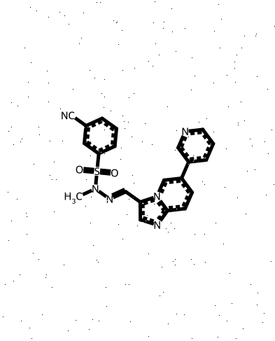 CN(/N=C/c1cnc2ccc(-c3cccnc3)cn12)S(=O)(=O)c1cccc(C#N)c1